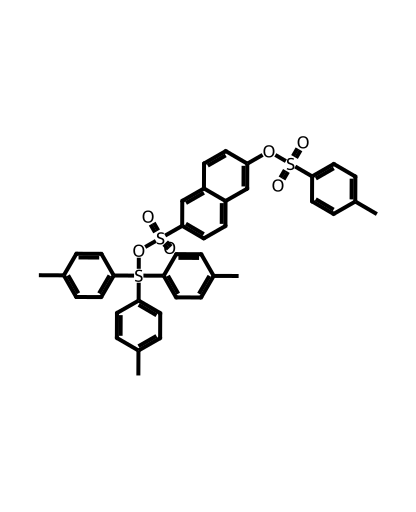 Cc1ccc(S(OS(=O)(=O)c2ccc3cc(OS(=O)(=O)c4ccc(C)cc4)ccc3c2)(c2ccc(C)cc2)c2ccc(C)cc2)cc1